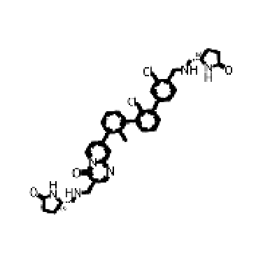 Cc1c(-c2ccn3c(=O)c(CNC[C@@H]4CCC(=O)N4)cnc3c2)cccc1-c1cccc(-c2ccc(CNC[C@@H]3CCC(=O)N3)c(Cl)c2)c1Cl